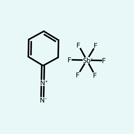 [F][Sb-]([F])([F])([F])([F])[F].[N-]=[N+]=C1C=CC=CC1